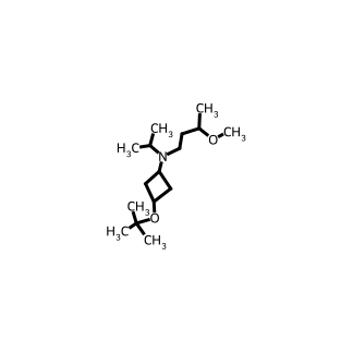 COC(C)CCN(C(C)C)C1CC(OC(C)(C)C)C1